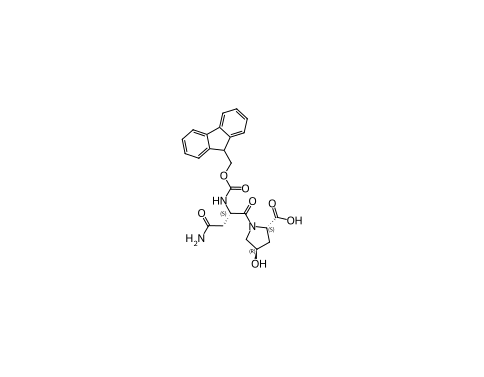 NC(=O)C[C@H](NC(=O)OCC1c2ccccc2-c2ccccc21)C(=O)N1C[C@H](O)C[C@H]1C(=O)O